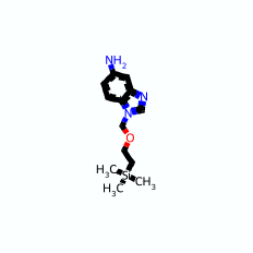 C[Si](C)(C)CCOCn1cnc2cc(N)ccc21